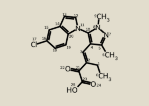 CCC(=Cc1c(C)nn(C)c1-n1ccc2cc(Cl)ccc21)C(=O)C(=O)O